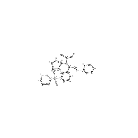 COC(=O)c1c(OCc2ccccc2)c2cccc(S(=O)(=O)c3ccccc3)c2c2ncnn12